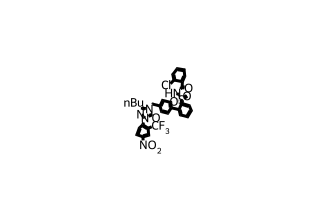 CCCCc1nn(-c2ccc([N+](=O)[O-])cc2C(F)(F)F)c(=O)n1Cc1ccc(-c2ccccc2S(=O)(=O)NC(=O)c2ccccc2Cl)cc1